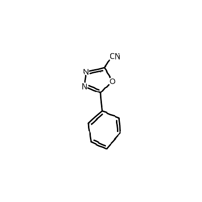 N#Cc1nnc(-c2ccccc2)o1